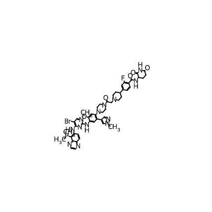 COc1cc(N2CCN(C(=O)CN3CCC(c4ccc(C(=O)NC5CCC(=O)NC5=O)c(F)c4)CC3)CC2)c(-c2cnn(C)c2)cc1Nc1ncc(Br)c(Nc2ccc3nccnc3c2P(C)C)n1